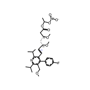 COCc1c(C(C)C)nc(C(C)C)c(/C=C/[C@H](C[C@H](CC(=O)OC(C)O[N+](=O)[O-])OC)OC)c1-c1ccc(F)cc1